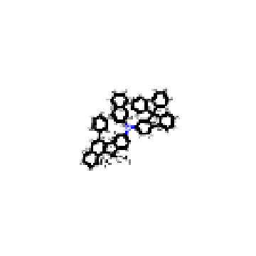 CC1(C)c2ccc(N(c3ccc4c(c3)C(c3ccccc3)(c3ccccc3)c3ccccc3-4)c3ccc4ccccc4c3)cc2-c2c(-c3ccccc3)cc3ccccc3c21